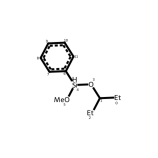 CCC(CC)O[SiH](OC)c1ccccc1